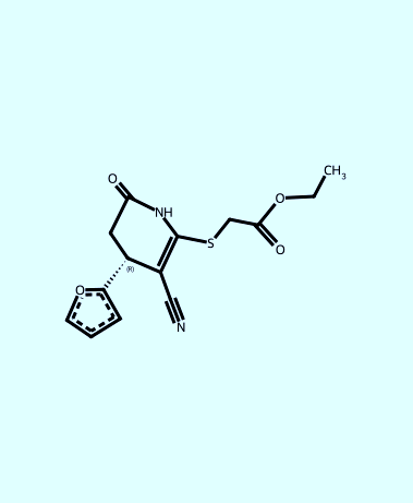 CCOC(=O)CSC1=C(C#N)[C@H](c2ccco2)CC(=O)N1